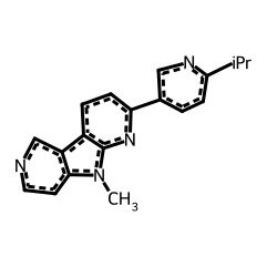 CC(C)c1ccc(-c2ccc3c4cnccc4n(C)c3n2)cn1